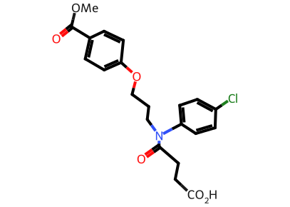 COC(=O)c1ccc(OCCCN(C(=O)CCC(=O)O)c2ccc(Cl)cc2)cc1